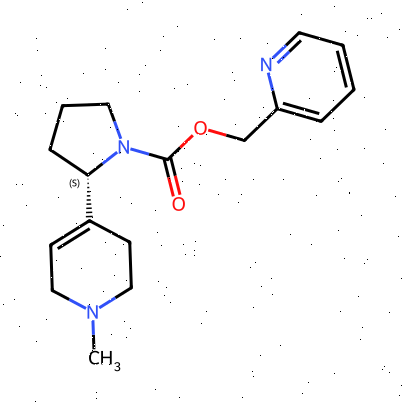 CN1CC=C([C@@H]2CCCN2C(=O)OCc2ccccn2)CC1